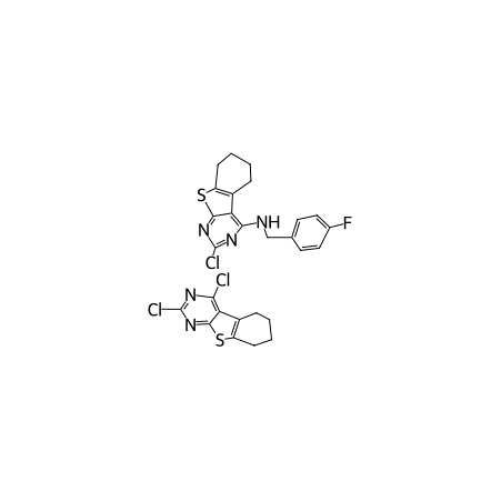 Clc1nc(Cl)c2c3c(sc2n1)CCCC3.Fc1ccc(CNc2nc(Cl)nc3sc4c(c23)CCCC4)cc1